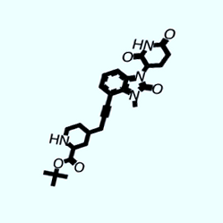 Cn1c(=O)n(C2CCC(=O)NC2=O)c2cccc(C#CCC3CCNC(C(=O)OC(C)(C)C)C3)c21